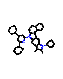 Cc1c(C)n(-c2ccccc2)c2cc3c4c5ccccc5ccc4n(-c4cc(-c5ccccc5)cc(-c5ccccc5)n4)c3cc12